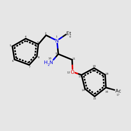 CCN(Cc1ccccc1)C(N)COc1ccc(C(C)=O)cc1